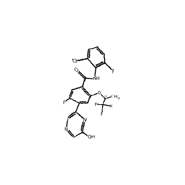 C[C@H](Oc1cc(-c2cncc(O)n2)c(F)cc1C(=O)Nc1c(F)cccc1Cl)C(F)(F)F